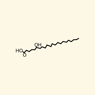 CCCCCCCCCCCCCCCCC(O)CCCCC(=O)O